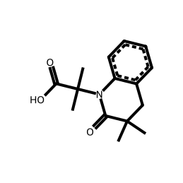 CC1(C)Cc2ccccc2N(C(C)(C)C(=O)O)C1=O